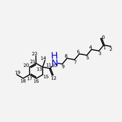 C=C(C)CCCCCCCNC(=C)C1(C)CC=C(CC)C=C1C